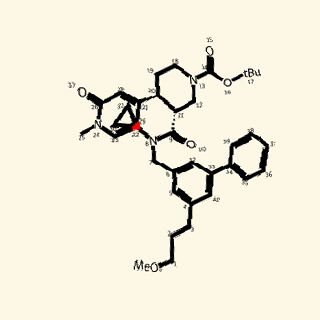 COCCCc1cc(CN(C(=O)[C@H]2CN(C(=O)OC(C)(C)C)CC[C@@H]2c2ccn(C)c(=O)c2)C2CC2)cc(-c2ccccc2)c1